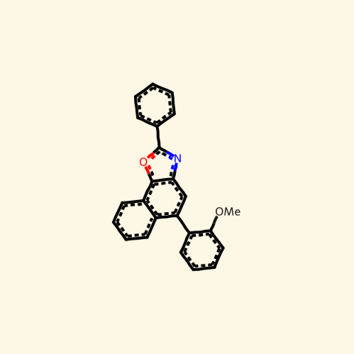 COc1ccccc1-c1cc2nc(-c3ccccc3)oc2c2ccccc12